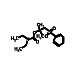 CCN(CC)C(=O)OC(C)(C)CS(=O)(=O)c1ccccc1